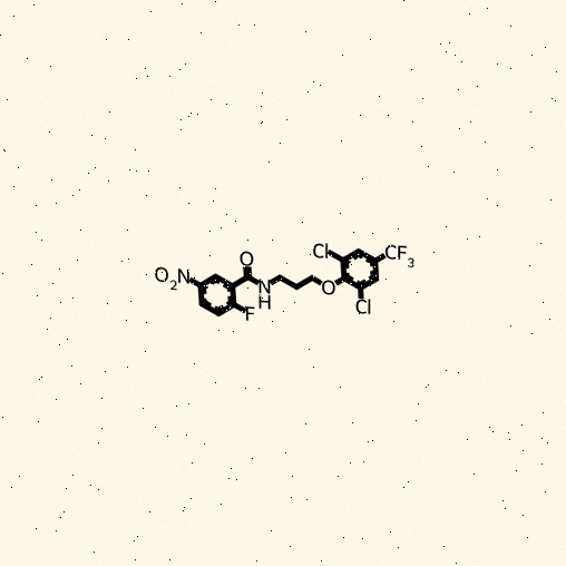 O=C(NCCCOc1c(Cl)cc(C(F)(F)F)cc1Cl)c1cc([N+](=O)[O-])ccc1F